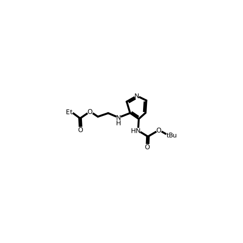 CCC(=O)OCCNc1cnccc1NC(=O)OC(C)(C)C